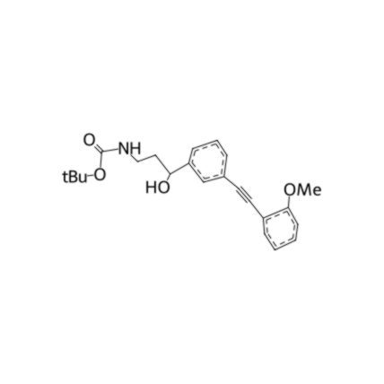 COc1ccccc1C#Cc1cccc(C(O)CCNC(=O)OC(C)(C)C)c1